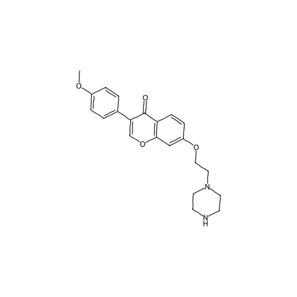 COc1ccc(-c2coc3cc(OCCN4CCNCC4)ccc3c2=O)cc1